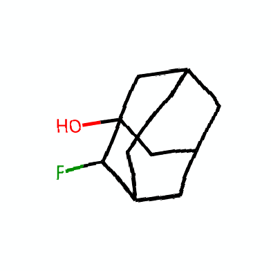 OC12CC3CC(CC(C3)C1F)C2